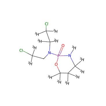 [2H]N1C([2H])([2H])C([2H])([2H])C([2H])([2H])OP1(=O)N(CC([2H])([2H])Cl)C([2H])([2H])C([2H])([2H])Cl